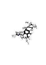 CC(=N)/C=C(\S)Nc1cc(N[C@H](CC(C)C)C(N)=O)cc(F)c1C(N)=O